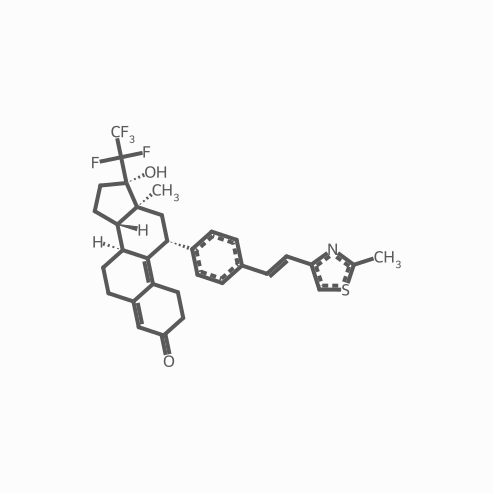 Cc1nc(/C=C/c2ccc([C@H]3C[C@@]4(C)[C@@H](CC[C@@]4(O)C(F)(F)C(F)(F)F)[C@@H]4CCC5=CC(=O)CCC5=C43)cc2)cs1